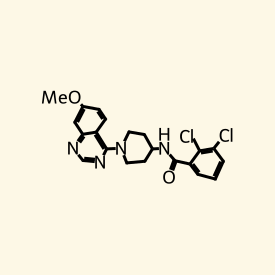 COc1ccc2c(N3CCC(NC(=O)c4cccc(Cl)c4Cl)CC3)ncnc2c1